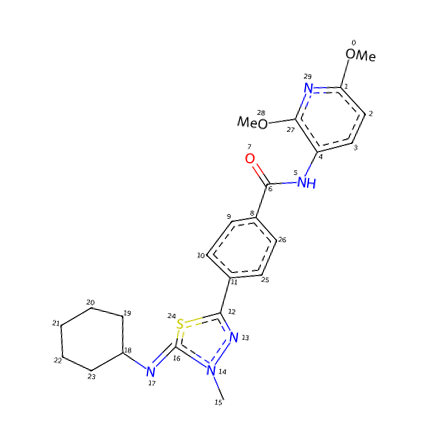 COc1ccc(NC(=O)c2ccc(-c3nn(C)c(=NC4CCCCC4)s3)cc2)c(OC)n1